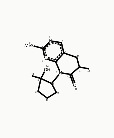 CSc1ncc2c(n1)N(C1CCCC1(C)O)C(=O)C(C)C2